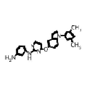 Cc1cc(C)cc(-n2ccc3cc(Oc4ccnc(Nc5cccc(N)c5)n4)ccc32)c1